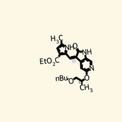 CCCCOC[C@H](C)Oc1cc2c(cn1)NC(=O)/C2=C\c1[nH]c(C)cc1C(=O)OCC